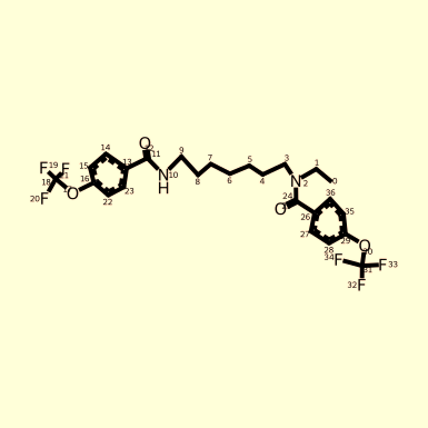 CCN(CCCCCCCNC(=O)c1ccc(OC(F)(F)F)cc1)C(=O)c1ccc(OC(F)(F)F)cc1